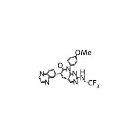 COc1ccc(-n2c(=O)c(-c3ccc4nccnc4c3)cc3cnc(NCC(F)(F)F)nc32)cc1